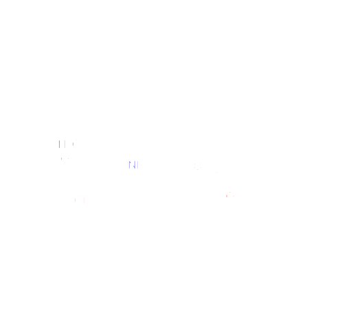 CCC(Cc1cccc(OC(=O)c2ccccc2)c1)(Nc1ccccc1)C(=O)O